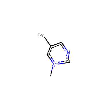 CC(C)c1cnc[n+](C)c1